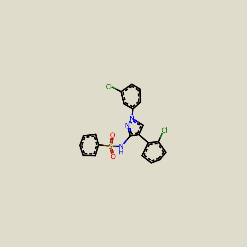 O=S(=O)(Nc1nn(-c2cccc(Cl)c2)cc1-c1ccccc1Cl)c1ccccc1